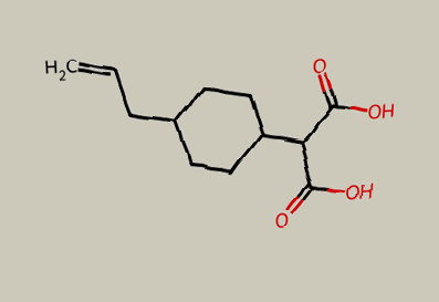 C=CCC1CCC(C(C(=O)O)C(=O)O)CC1